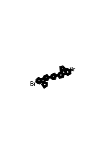 Brc1ccc2c(c1)C1(CCCC1)c1cc(-c3ccc(-c4ccc5c(c4)C4(CCCC4)c4cc(Br)ccc4-5)cc3)ccc1-2